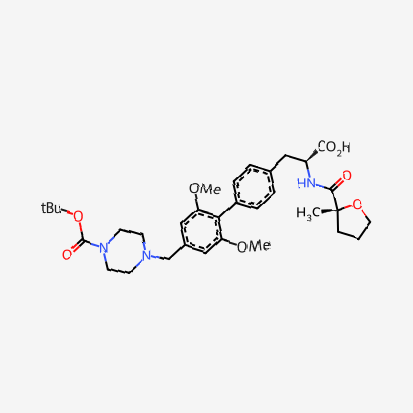 COc1cc(CN2CCN(C(=O)OC(C)(C)C)CC2)cc(OC)c1-c1ccc(C[C@H](NC(=O)[C@@]2(C)CCCO2)C(=O)O)cc1